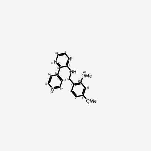 COc1ccc(CNc2nccnc2-c2ccncc2)c(OC)c1